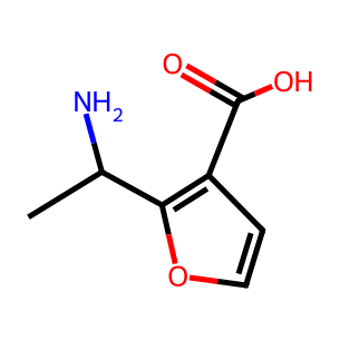 CC(N)c1occc1C(=O)O